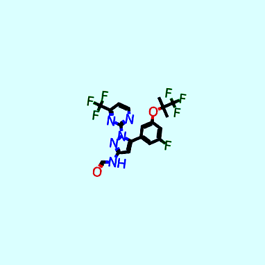 CC(C)(Oc1cc(F)cc(-c2cc(NC=O)nn2-c2nccc(C(F)(F)F)n2)c1)C(F)(F)F